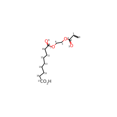 C=CC(=O)OCCOC(=O)CCCCCCCC(=O)O